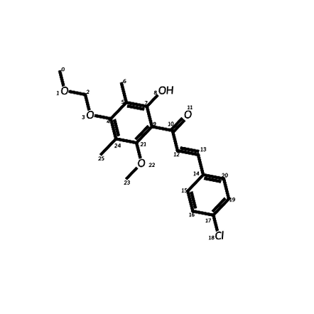 COCOc1c(C)c(O)c(C(=O)/C=C/c2ccc(Cl)cc2)c(OC)c1C